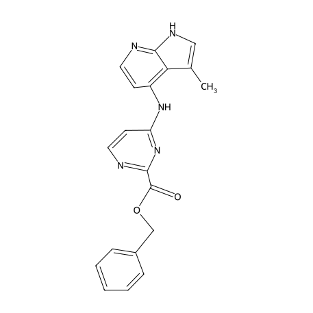 Cc1c[nH]c2nccc(Nc3ccnc(C(=O)OCc4ccccc4)n3)c12